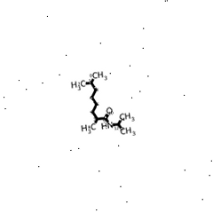 CC(C)CCCCC(C)C(=O)NC(C)C